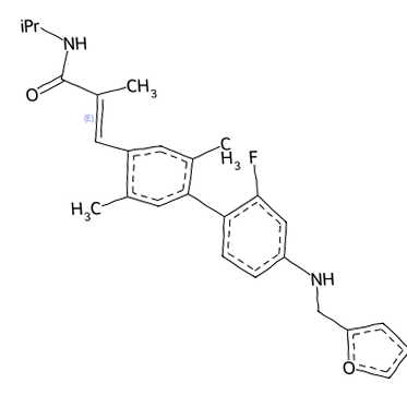 C/C(=C\c1cc(C)c(-c2ccc(NCc3ccco3)cc2F)cc1C)C(=O)NC(C)C